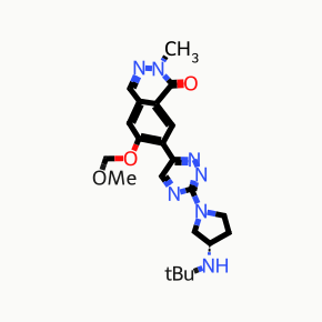 COCOc1cc2cnn(C)c(=O)c2cc1-c1cnc(N2CC[C@H](NC(C)(C)C)C2)nn1